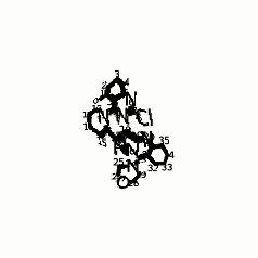 Cc1cccc2nc(Cl)nc(N3CCCCC3c3cc4nc5c(c(N6CCOCC6)n4n3)CCCC5)c12